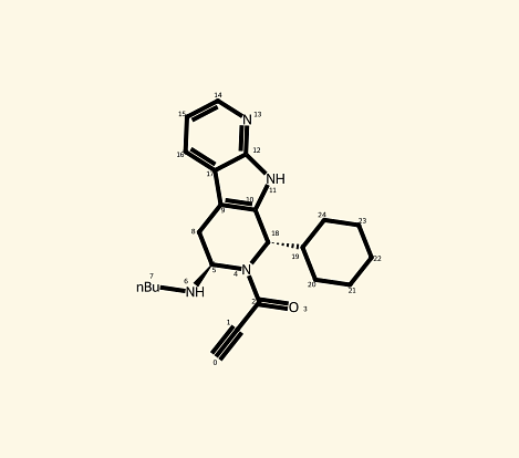 C#CC(=O)N1[C@@H](NCCCC)Cc2c([nH]c3ncccc23)[C@@H]1C1CCCCC1